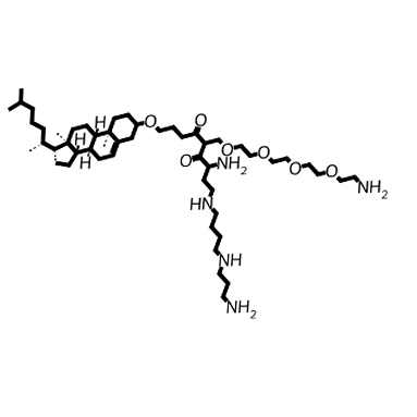 CC(C)CCC[C@@H](C)[C@H]1CC[C@H]2[C@@H]3CC=C4CC(OCCCC(=O)C(COCCOCCOCCOCCN)C(=O)C(N)CCNCCCCNCCCN)CC[C@]4(C)[C@H]3CC[C@]12C